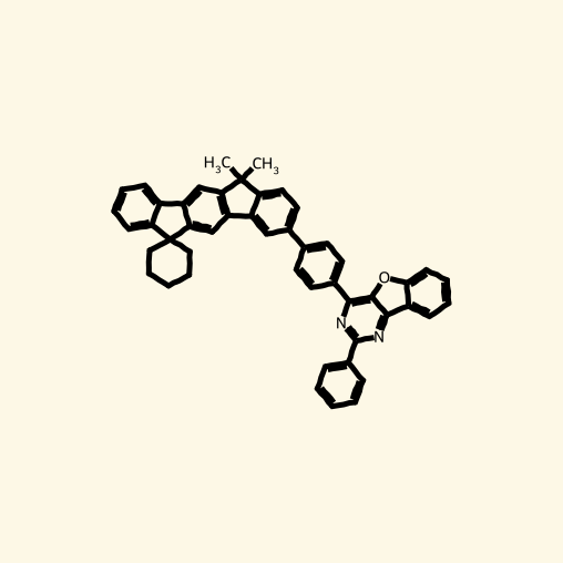 CC1(C)c2ccc(-c3ccc(-c4nc(-c5ccccc5)nc5c4oc4ccccc45)cc3)cc2-c2cc3c(cc21)-c1ccccc1C31CCCCC1